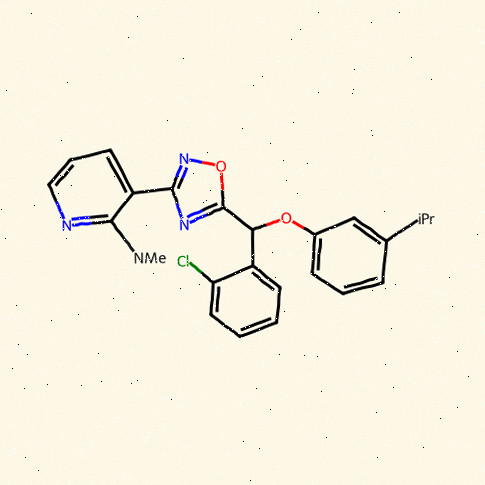 CNc1ncccc1-c1noc(C(Oc2cccc(C(C)C)c2)c2ccccc2Cl)n1